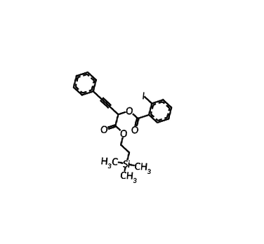 C[Si](C)(C)CCOC(=O)C(C#Cc1ccccc1)OC(=O)c1ccccc1I